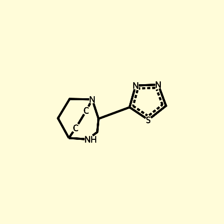 c1nnc(C2CNC3CCN2CC3)s1